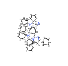 Cc1c(-c2ccccc2)nc(-c2cc(C#N)c(-n3c4ccccc4c4ccccc43)c(-c3ccccc3)c2-n2c3ccccc3c3ccccc32)nc1-c1ccccc1